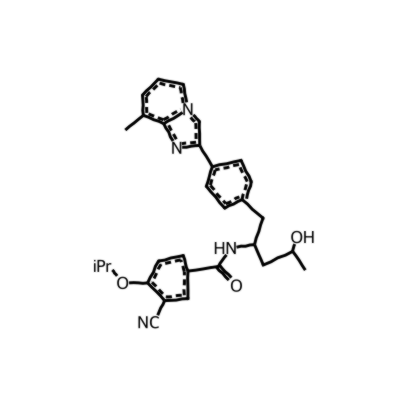 Cc1cccn2cc(-c3ccc(CC(CC(C)O)NC(=O)c4ccc(OC(C)C)c(C#N)c4)cc3)nc12